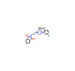 COc1ccc(F)cc1N1CCN(CCCN2C(=O)c3ccccc3C2=O)CC1